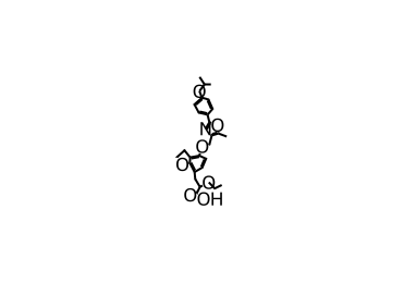 CCOC(Cc1ccc(OCc2nc(-c3ccc(OC(C)C)cc3)oc2C)c2c1OCC2)C(=O)O